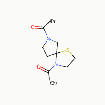 CC(C)C(=O)N1CCC2(C1)SCCN2C(=O)C(C)(C)C